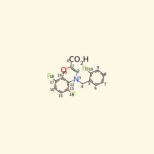 O=C(O)C1=CN(Cc2ccccc2F)c2c(F)ccc(F)c2O1